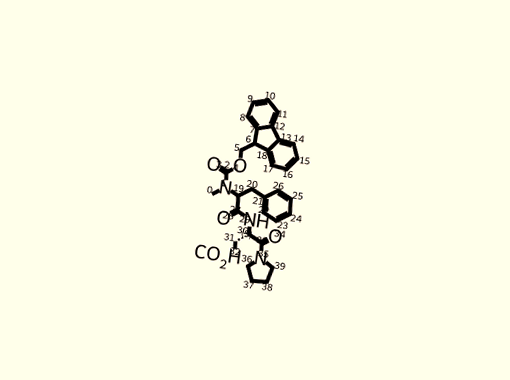 CN(C(=O)OCC1c2ccccc2-c2ccccc21)C(Cc1ccccc1)C(=O)N[C@@H](CC(=O)O)C(=O)N1CCCC1